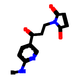 CCNc1ccc(C(=O)CCN2C(=O)C=CC2=O)cn1